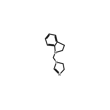 C1=NCCN1CN1CCc2ccccc21